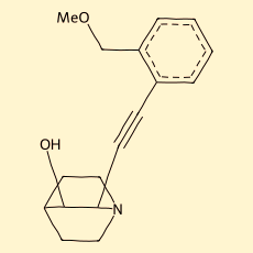 COCc1ccccc1C#CC1C(O)C2CCN1CC2